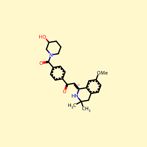 COc1ccc2c(c1)/C(=C/C(=O)c1ccc(C(=O)N3CCCC(O)C3)cc1)NC(C)(C)C2